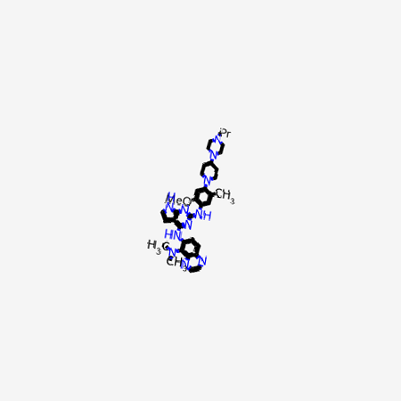 COc1cc(N2CCC(N3CCN(C(C)C)CC3)CC2)c(C)cc1Nc1nc(Nc2ccc3nccnc3c2N(C)C)c2cc[nH]c2n1